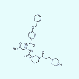 O=C(O)C[C@@H](NC(=O)c1ccc(OCc2ccccc2)cc1)NC(=O)[C@@H]1CCCN(C(=O)CCC2CCNCC2)C1